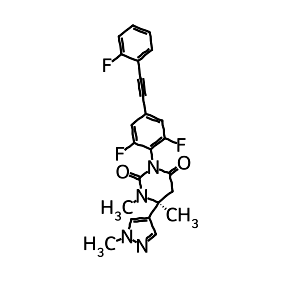 CN1C(=O)N(c2c(F)cc(C#Cc3ccccc3F)cc2F)C(=O)C[C@@]1(C)c1cnn(C)c1